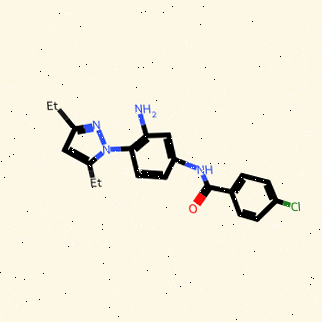 CCc1cc(CC)n(-c2ccc(NC(=O)c3ccc(Cl)cc3)cc2N)n1